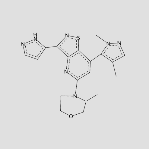 Cc1cnn(C)c1-c1cc(N2CCOCC2C)nc2c(-c3ccn[nH]3)nsc12